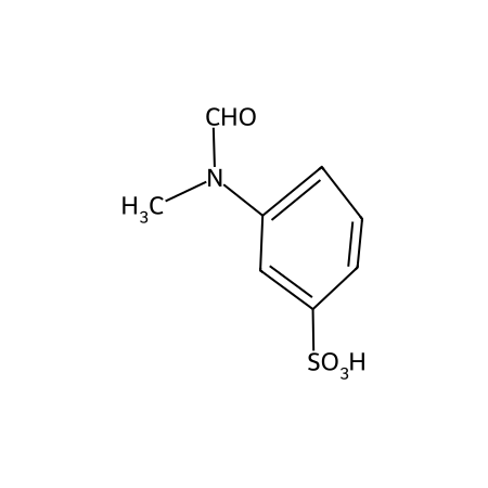 CN(C=O)c1cccc(S(=O)(=O)O)c1